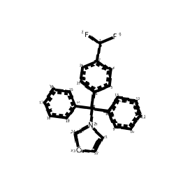 FC(F)c1ccc(C(c2ccccc2)(c2ccccc2)N2C=COC2)cc1